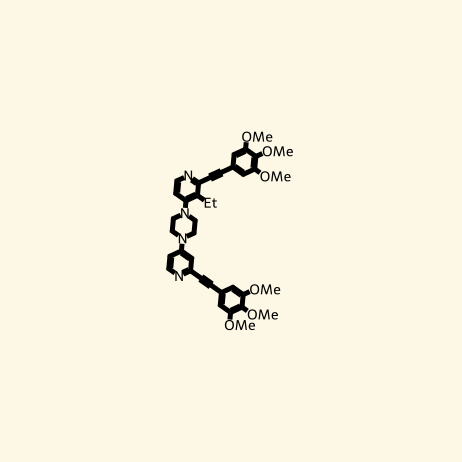 CCc1c(N2CCN(c3ccnc(C#Cc4cc(OC)c(OC)c(OC)c4)c3)CC2)ccnc1C#Cc1cc(OC)c(OC)c(OC)c1